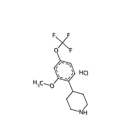 COc1cc(OC(F)(F)F)ccc1C1CCNCC1.Cl